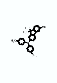 Cc1ccc(N(c2ccc(C)cc2)c2ccc3c(c2)C(C)(C)c2ccc(O)cc2-3)cc1